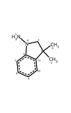 CC1(C)CN(N)c2ccccc21